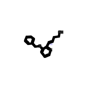 OCC/C=C/c1ncccc1OCc1ccccc1